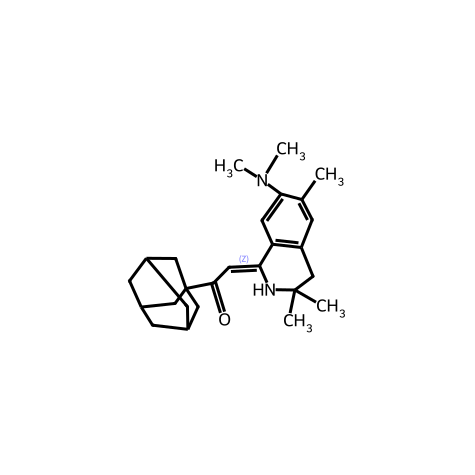 Cc1cc2c(cc1N(C)C)/C(=C/C(=O)C13CC4CC(CC(C4)C1)C3)NC(C)(C)C2